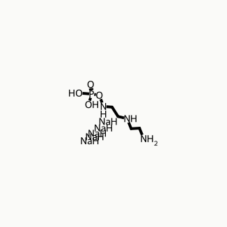 NCCNCCNOP(=O)(O)O.[NaH].[NaH].[NaH].[NaH].[NaH]